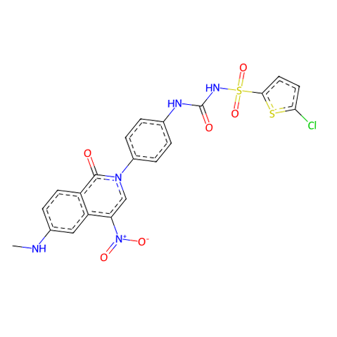 CNc1ccc2c(=O)n(-c3ccc(NC(=O)NS(=O)(=O)c4ccc(Cl)s4)cc3)cc([N+](=O)[O-])c2c1